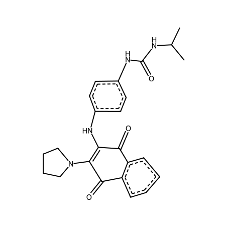 CC(C)NC(=O)Nc1ccc(NC2=C(N3CCCC3)C(=O)c3ccccc3C2=O)cc1